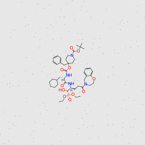 CCOP(=O)(OCC)C(O)[C@H](CCC(=O)N1CCOc2ccccc2C1)NC(=O)[C@H](CC1CCCCC1)NC(=O)OC1(Cc2ccccc2)CCN(C(=O)OC(C)(C)C)CC1